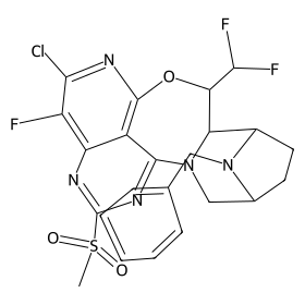 CS(=O)(=O)c1nc2c3c(nc(Cl)c(F)c3n1)OC(C(F)F)C1C3CCC(CN21)N3Cc1ccccc1